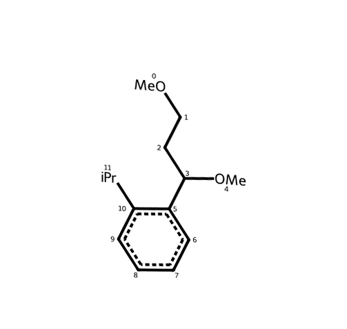 COCCC(OC)c1ccccc1C(C)C